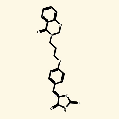 O=C1NC(=O)/C(=C/c2ccc(OCCCN3COc4ccccc4C3=O)cc2)S1